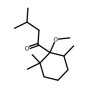 COC1(C(=O)CC(C)C)C(C)CCCC1(C)C